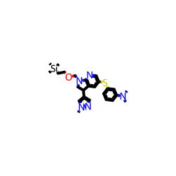 CN(C)c1cccc(Sc2cnc3c(c2)C(c2cnn(C)c2)CN3COCC[Si](C)(C)C)c1